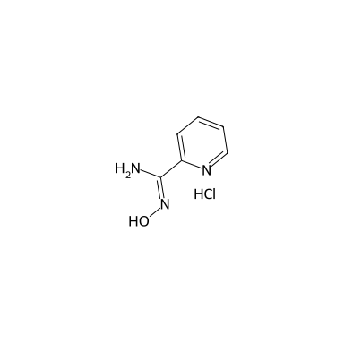 Cl.NC(=NO)c1ccccn1